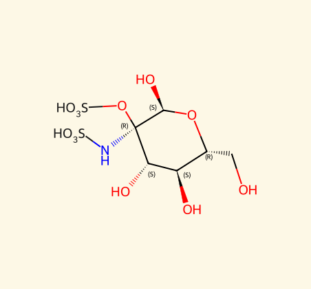 O=S(=O)(O)N[C@]1(OS(=O)(=O)O)[C@@H](O)O[C@H](CO)[C@@H](O)[C@@H]1O